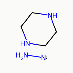 C1CNCCN1.[N]N